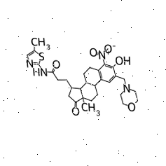 Cc1cnc(NC(=O)CCC2CC(=O)C3(C)CCC4c5cc(CN6CCOCC6)c(O)c([N+](=O)[O-])c5CCC4C23)s1